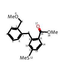 COCc1ccccc1Cc1cc(SC)ccc1C(=O)OC